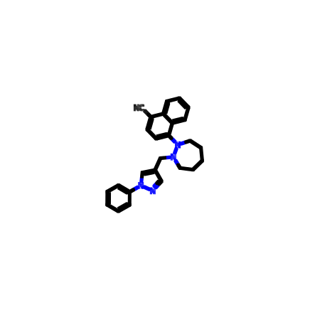 N#Cc1ccc(N2CCCCCN2Cc2cnn(-c3ccccc3)c2)c2ccccc12